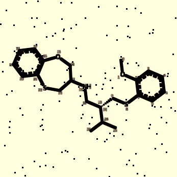 COc1ccccc1SC[C@@H](CNC1COc2ccccc2SC1)C(C)C